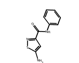 Nc1cc(C(=O)Nc2ccccc2)ns1